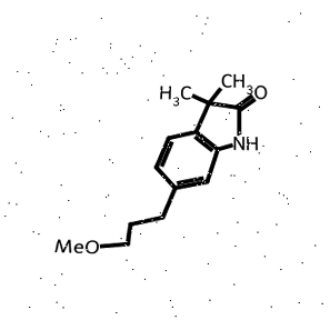 COCCCc1ccc2c(c1)NC(=O)C2(C)C